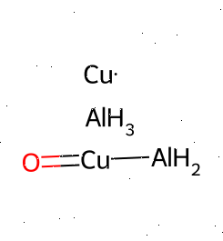 [AlH3].[Cu].[O]=[Cu][AlH2]